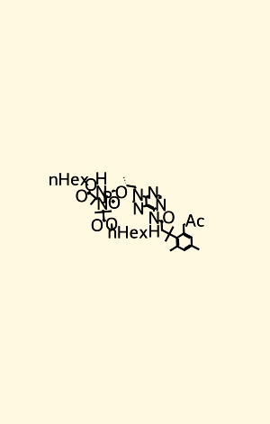 CCCCCCOC(=O)C(C)(C)N1C(C)(C(=O)OCCCCCC)NP1(=O)CO[C@H](C)Cn1cnc2c(NC(=O)CC(C)(C)c3c(C)cc(C)cc3CC(C)=O)ncnc21